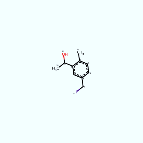 Cc1ccc(CI)cc1C(C)O